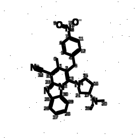 Cc1c(Cc2ccc([N+](=O)[O-])cc2)c(N2CC[C@H](N(C)C)C2)n2c(nc3ccccc32)c1C#N